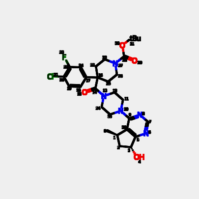 C[C@@H]1C[C@@H](O)c2ncnc(N3CCN(C(=O)C4(c5ccc(Cl)c(F)c5)CCN(C(=O)OC(C)(C)C)CC4)CC3)c21